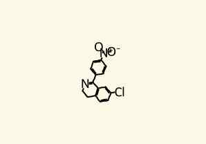 O=[N+]([O-])c1ccc(C2=NCCc3ccc(Cl)cc32)cc1